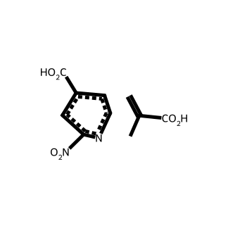 C=C(C)C(=O)O.O=C(O)c1ccnc([N+](=O)[O-])c1